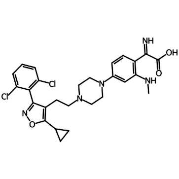 CNc1cc(N2CCN(CCc3c(-c4c(Cl)cccc4Cl)noc3C3CC3)CC2)ccc1C(=N)C(=O)O